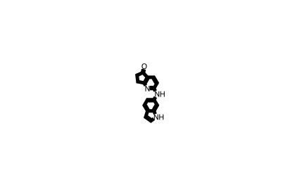 O=C1CCc2nc(Nc3ccc4cc[nH]c4c3)ccc21